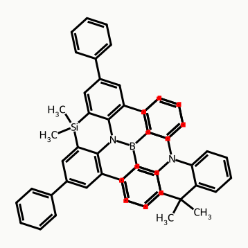 CC1(C)c2ccccc2N2c3ccccc3B(N3c4c(-c5ccccc5)cc(-c5ccccc5)cc4[Si](C)(C)c4cc(-c5ccccc5)cc(-c5ccccc5)c43)c3cccc1c32